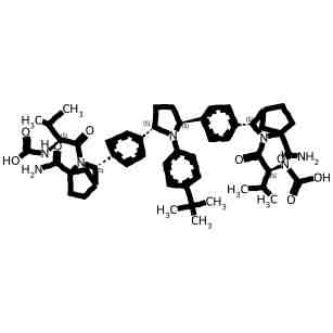 CC(C)[C@H](NC(=O)O)C(=O)N1[C@H](c2ccc([C@@H]3CC[C@@H](c4ccc([C@@H]5C6CCC(C(N)=O)(C6)N5C(=O)[C@@H](NC(=O)O)C(C)C)cc4)N3c3ccc(C(C)(C)C)cc3)cc2)C2CCC1(C(N)=O)C2